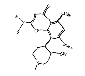 CC[S+]([O-])c1cc(=O)c2c(OC)cc(OC)c(C3CCN(C)CC3O)c2o1